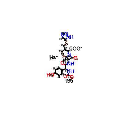 CC(C)(C)OC(=O)NC(C(=O)N[C@@H]1C(=O)N2C(C(=O)[O-])=C(CSc3cnn[nH]3)CS[C@H]12)c1ccc(O)cc1.[Na+]